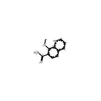 COc1c(C(N)=O)ccc2cccnc12